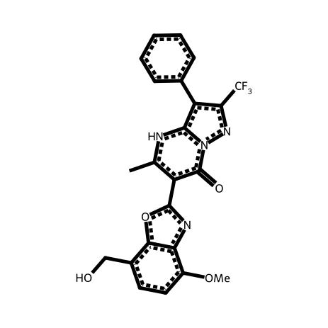 COc1ccc(CO)c2oc(-c3c(C)[nH]c4c(-c5ccccc5)c(C(F)(F)F)nn4c3=O)nc12